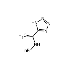 CCCN[C@@H](C)c1nnn[nH]1